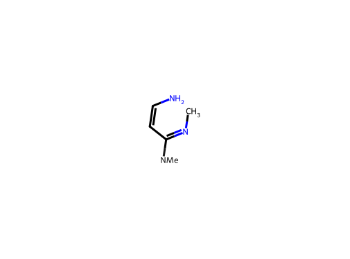 C/N=C(\C=C/N)NC